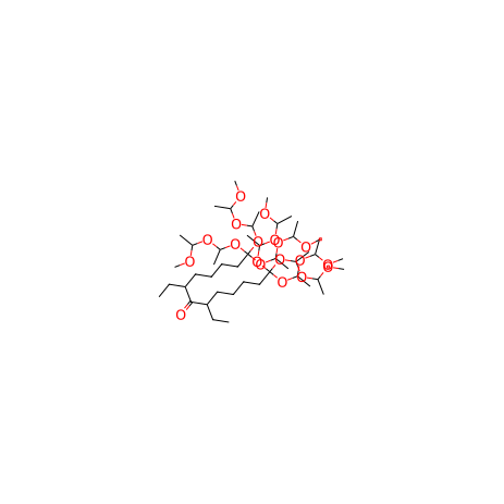 CCC(CCCCC(OC(C)OC(C)OC)(OC(C)OC(C)OC)OC(C)OC(C)OC)C(=O)C(CC)CCCCC(OC(C)OC(C)OC)(OC(C)OC(C)OC)OC(C)OC(C)OC